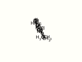 C[Si](C)(C)CCOCn1cc(Cl)c2c(Oc3c(F)cc(NC4=NCCCO4)cc3F)ccnc21